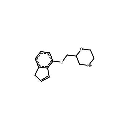 C1=Cc2c(cccc2OCC2CNCCO2)C1